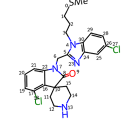 CSCCCn1c(CN2C(=O)C3(CCNCC3)c3c(Cl)cccc32)nc2cc(Cl)ccc21